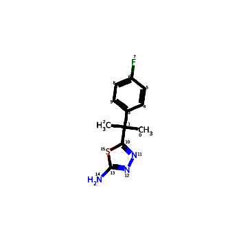 CC(C)(c1ccc(F)cc1)c1nnc(N)s1